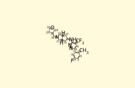 Cc1ccc(F)cc1-c1cc(C(F)(F)F)c(N[C@@H]2C[C@@H]3CN(C[C@H]4CCOC4)C[C@@H]3C2)nn1